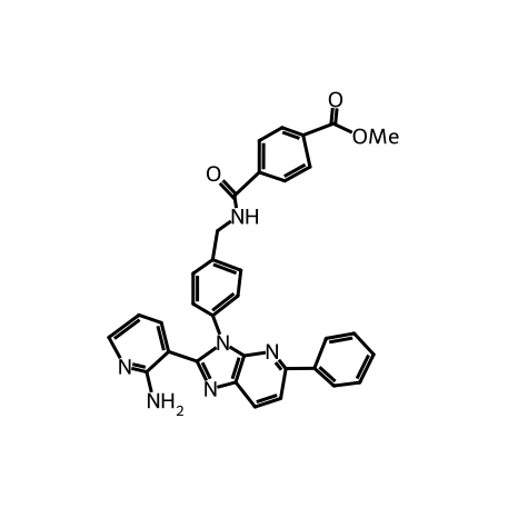 COC(=O)c1ccc(C(=O)NCc2ccc(-n3c(-c4cccnc4N)nc4ccc(-c5ccccc5)nc43)cc2)cc1